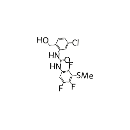 CSc1c(F)c(F)cc(NC(=O)Nc2cc(Cl)ccc2CO)c1F